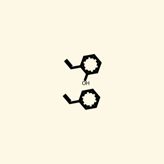 C=Cc1ccccc1.C=Cc1ccccc1O